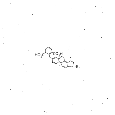 CCC1C=c2ccc3c(c2CC1)CC=c1cc(Cc2c(C(=O)O)cccc2C(=O)O)ccc1=3